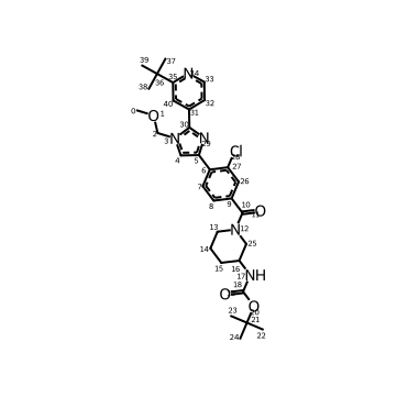 COCn1cc(-c2ccc(C(=O)N3CCCC(NC(=O)OC(C)(C)C)C3)cc2Cl)nc1-c1ccnc(C(C)(C)C)c1